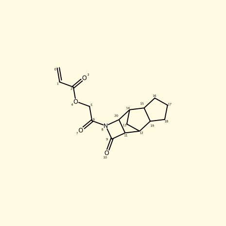 C=CC(=O)OCC(=O)N1C(=O)C2C3CC(C4CCCC43)C21